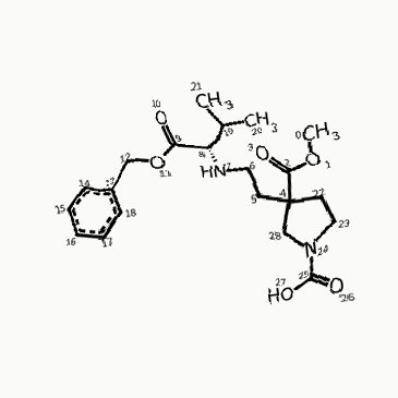 COC(=O)C1(CCN[C@H](C(=O)OCc2ccccc2)C(C)C)CCN(C(=O)O)C1